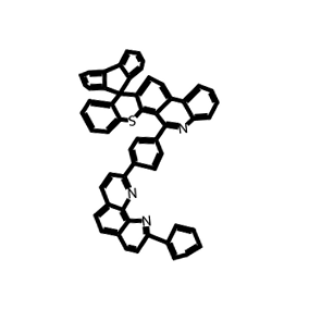 c1ccc(-c2ccc3ccc4ccc(-c5ccc(-c6nc7ccccc7c7ccc8c(c67)Sc6ccccc6C86c7ccccc7-c7ccccc76)cc5)nc4c3n2)cc1